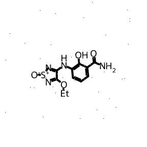 CCOc1n[s+]([O-])nc1Nc1cccc(C(N)=O)c1O